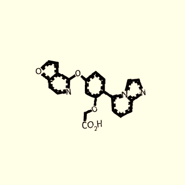 O=C(O)COc1cc(Oc2nccc3occc23)ccc1-c1cccc2nccn12